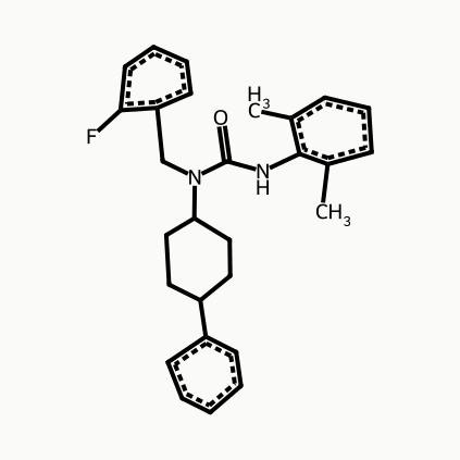 Cc1cccc(C)c1NC(=O)N(Cc1ccccc1F)C1CCC(c2ccccc2)CC1